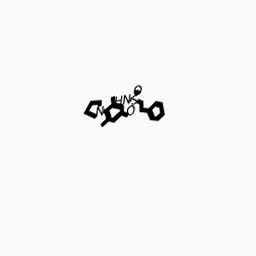 Cc1cc(C)c(N2CCCC2)c(C)c1NS(=O)(=O)CCc1ccccc1